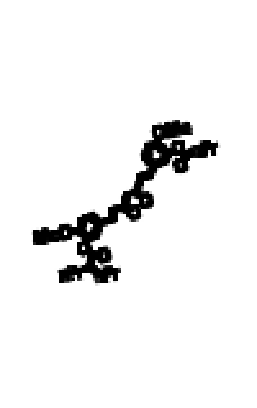 CCCC(=O)Oc1cc(/C=C/C(=O)CC(=O)/C=C/c2ccc(OC)c(OC(=O)C(CCC)CCC)c2)ccc1OC